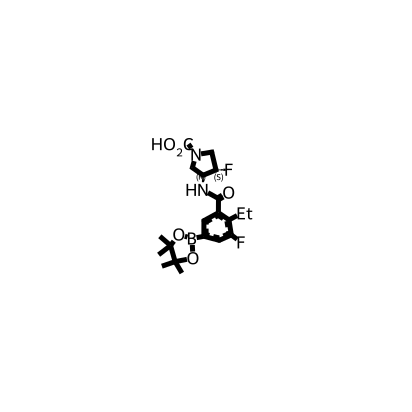 CCc1c(F)cc(B2OC(C)(C)C(C)(C)O2)cc1C(=O)N[C@@H]1CN(C(=O)O)C[C@@H]1F